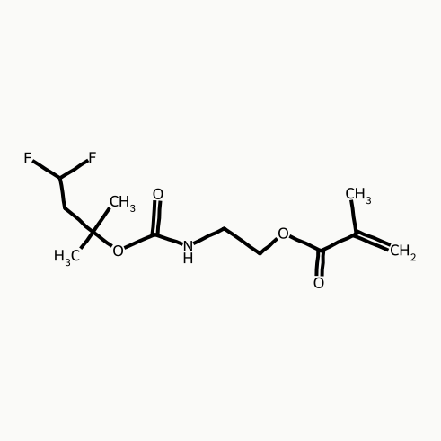 C=C(C)C(=O)OCCNC(=O)OC(C)(C)CC(F)F